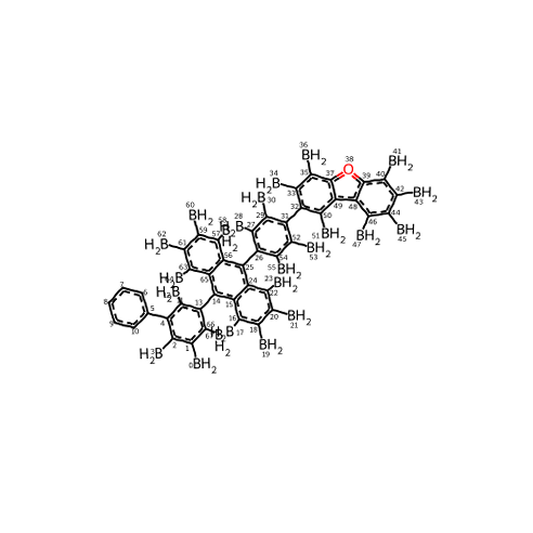 Bc1c(B)c(-c2ccccc2)c(B)c(-c2c3c(B)c(B)c(B)c(B)c3c(-c3c(B)c(B)c(-c4c(B)c(B)c5oc6c(B)c(B)c(B)c(B)c6c5c4B)c(B)c3B)c3c(B)c(B)c(B)c(B)c23)c1B